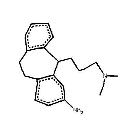 CN(C)CCCC1c2ccccc2CCc2ccc(N)cc21